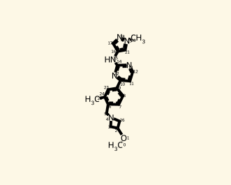 COC1CN(Cc2ccc(-c3ccnc(Nc4cnn(C)c4)n3)cc2C)C1